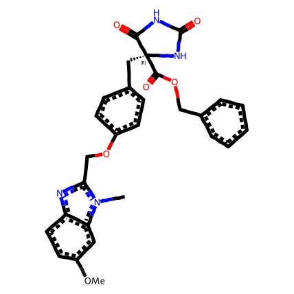 COc1ccc2nc(COc3ccc(C[C@@]4(C(=O)OCc5ccccc5)NC(=O)NC4=O)cc3)n(C)c2c1